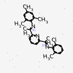 C/C(=N\c1c(C)cc(C)cc1C)c1cccc(/C(C)=N/c2c(C)cccc2Cl)n1